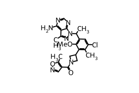 COc1c(C(C)n2nc(C)c3c(N)ncnc32)cc(Cl)c(C)c1C1CN(C(=O)c2cnoc2C)C1